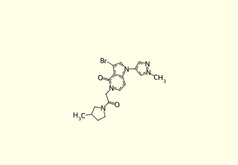 CC1CCN(C(=O)Cn2ccc3c(c(Br)cn3-c3cnn(C)c3)c2=O)C1